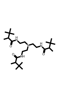 CC(C(=O)NCCN(CCNC(=O)C(C)C(C)(C)C)CCNC(=O)C(C)C(C)(C)C)C(C)(C)C